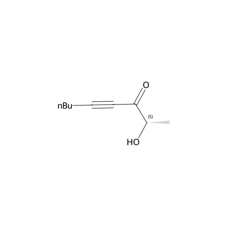 CCCCC#CC(=O)[C@H](C)O